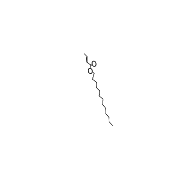 CC=CC(=O)OCCCCCCCCCCCCC